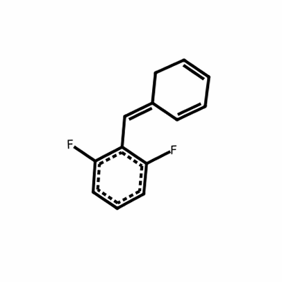 Fc1cccc(F)c1C=C1C=CC=CC1